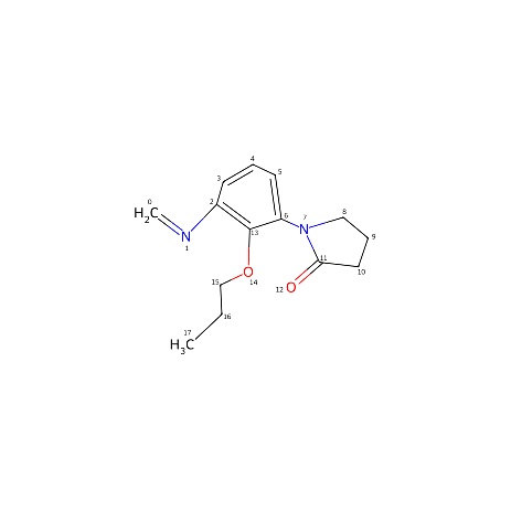 C=Nc1cccc(N2CCCC2=O)c1OCCC